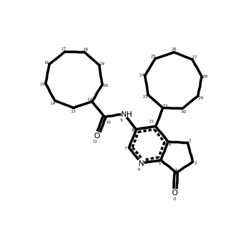 O=C1CCc2c1ncc(NC(=O)C1CCCCCCCC1)c2C1CCCCCCCC1